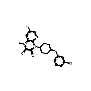 Cn1c(=O)c(=O)n(C2CCC(Oc3cccc(Cl)c3)CC2)c2ncc(Cl)cc21